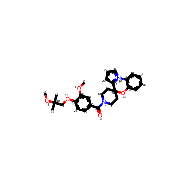 COc1cc(C(=O)N2CCC3(CC2)Oc2ccccc2-n2cccc23)ccc1OCC(C)(C)OC